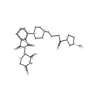 N[C@H]1CCN(C(=O)CCCN2CCN(c3cccc4c3C(=O)N(C3CCC(=O)NC3=O)C4=O)CC2)C1